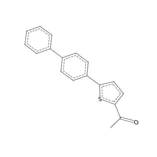 CC(=O)c1ccc(-c2ccc(-c3ccccc3)cc2)s1